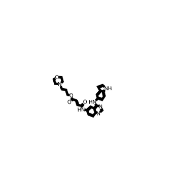 O=C(C=CC(=O)OCCCN1CCOCC1)Nc1ccc2ncnc(Nc3ccc4[nH]ccc4c3)c2c1